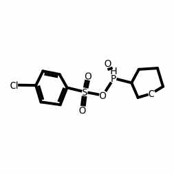 O=[PH](OS(=O)(=O)c1ccc(Cl)cc1)C1CCCCC1